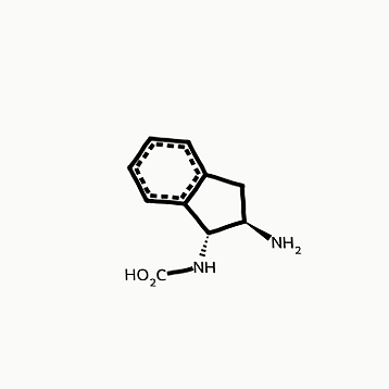 N[C@@H]1Cc2ccccc2[C@H]1NC(=O)O